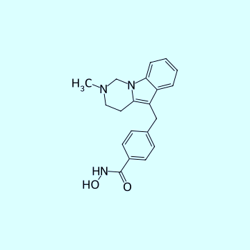 CN1CCc2c(Cc3ccc(C(=O)NO)cc3)c3ccccc3n2C1